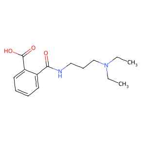 CCN(CC)CCCNC(=O)c1ccccc1C(=O)O